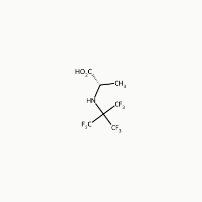 C[C@H](NC(C(F)(F)F)(C(F)(F)F)C(F)(F)F)C(=O)O